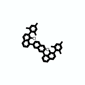 Cc1cc(C)c(-c2ccc3cccc(-c4ccc5ccc(-c6cccc7ccc(-c8c(C)cc(C)cc8C)c(Cl)c67)cc5c4)c3c2Cl)c(C)c1